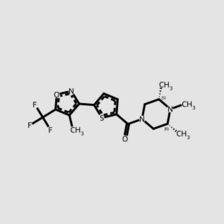 Cc1c(-c2ccc(C(=O)N3C[C@@H](C)N(C)[C@@H](C)C3)s2)noc1C(F)(F)F